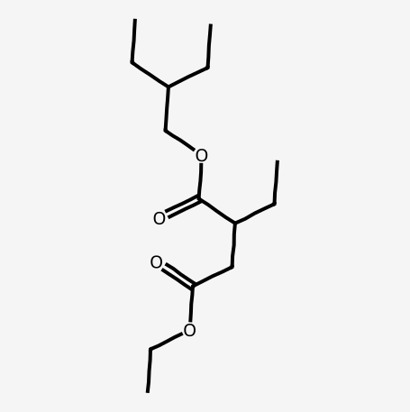 CCOC(=O)CC(CC)C(=O)OCC(CC)CC